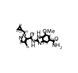 COc1cc(C(N)=O)cc2nc(NC(=O)c3c(C)cnn3CC3CC3)[nH]c12